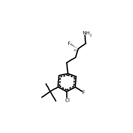 CC(C)(C)c1cc(CC[C@H](F)CN)cc(F)c1Cl